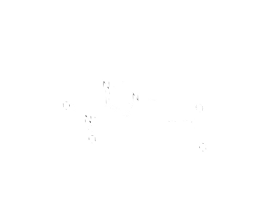 COC(=O)CCn1cnc([N+](=O)[O-])c1